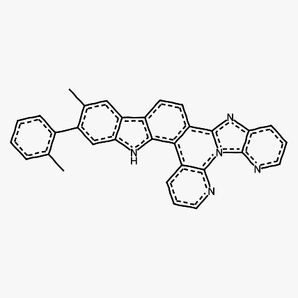 Cc1ccccc1-c1cc2[nH]c3c(ccc4c3c3cccnc3n3c5ncccc5nc43)c2cc1C